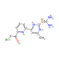 Cc1cc(-c2cccc(C(=O)CBr)n2)nc([SH]=C(N)N)n1